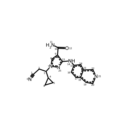 N#CCC(C1CC1)n1cc(C(N)=O)c(Nc2ccc3ccncc3c2)n1